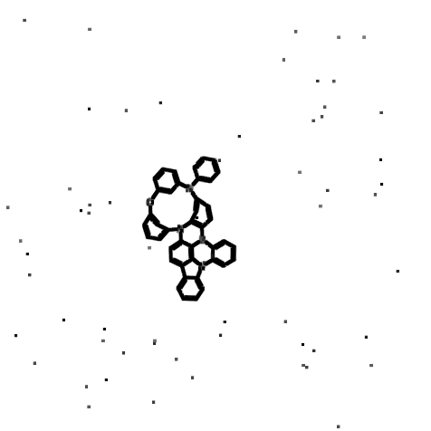 c1ccc(N2c3cccc(c3)Oc3cccc(c3)N3c4cc2ccc4B2c4ccccc4-n4c5ccccc5c5ccc3c2c54)cc1